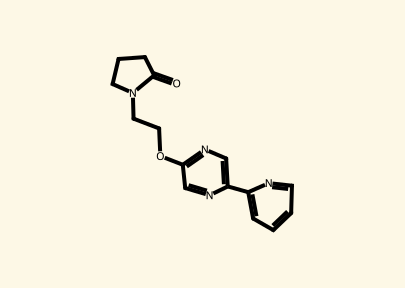 O=C1CCCN1CCOc1cnc(-c2ccccn2)cn1